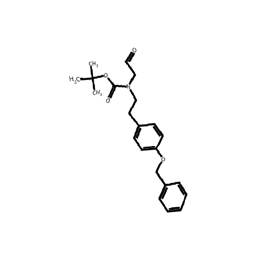 CC(C)(C)OC(=O)N(CC=O)CCc1ccc(OCc2ccccc2)cc1